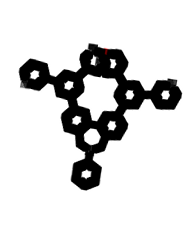 c1ccc(N2Cc3ccc(-c4cc(-c5cccnc5)cc(-c5cccnc5)c4)cc3-c3cc(-c4cc(-c5cccnc5)cc(-c5cccnc5)c4)ccc3C2)cc1